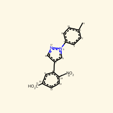 Cc1ccc(-n2cc(-c3cc(C(=O)O)ccc3[N+](=O)[O-])cn2)cc1